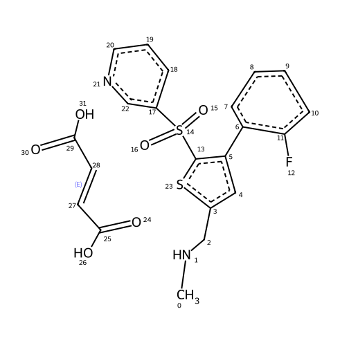 CNCc1cc(-c2ccccc2F)c(S(=O)(=O)c2cccnc2)s1.O=C(O)/C=C/C(=O)O